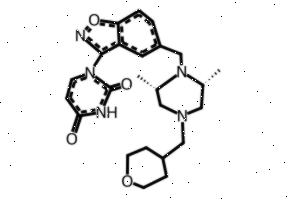 C[C@@H]1CN(CC2CCOCC2)C[C@H](C)N1Cc1ccc2onc(-n3ccc(=O)[nH]c3=O)c2c1